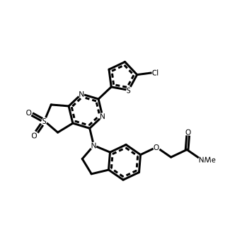 CNC(=O)COc1ccc2c(c1)N(c1nc(-c3ccc(Cl)s3)nc3c1CS(=O)(=O)C3)CC2